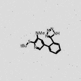 CNc1cc(-c2ccccc2-c2nnn[nH]2)cnc1SC(C)(C)C